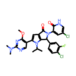 COc1nc(N(C)C)ncc1-c1cc2c(n1C(C)C)C(c1ccc(Cl)c(F)c1)N(c1cc(Cl)c[nH]c1=O)C2=O